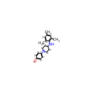 Cc1cc(C)c(NC2CCN(c3ccc([O])cc3)CC2)c(C)c1